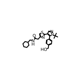 CC(C)(C)n1ncc(-c2nc(CC(=O)NCC3CCCCC3)cs2)c1-c1ccc(CO)cc1